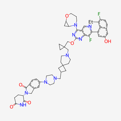 CCc1c(F)ccc2cc(O)cc(-c3ncc4c(N5CCCOC6CC65)nc(OCC5(CN6CCC7(CC6)CC(CN6CCN(c8ccc9c(c8)CN([C@H]8CCC(=O)NC8=O)C9=O)CC6)C7)CC5)nc4c3F)c12